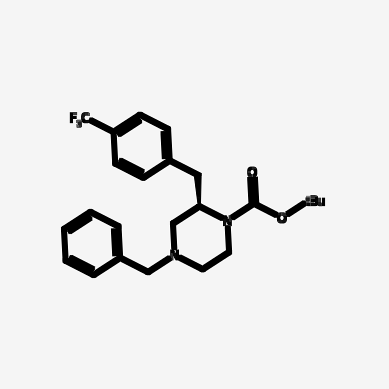 CC(C)(C)OC(=O)N1CCN(Cc2ccccc2)C[C@H]1Cc1ccc(C(F)(F)F)cc1